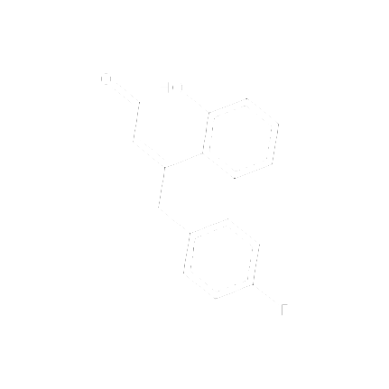 O=CC=C(Cc1ccc(F)cc1)c1ccccc1O